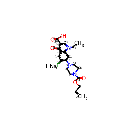 C=CCOC(=O)N1CCN(c2cc3c(cc2F)c(=O)c(C(=O)O)cn3CC)CC1.[NaH]